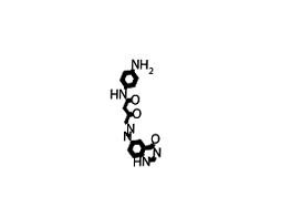 Nc1ccc(NC(=O)CC(=O)CN=Nc2ccc3[nH]cnc(=O)c3c2)cc1